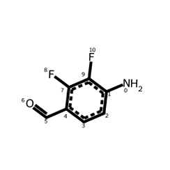 Nc1ccc(C=O)c(F)c1F